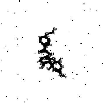 CO[C@H]1[C@@H](C)SC(N)=N[C@]1(C)c1cc(NC(=O)c2cnc(OCF)cn2)ccc1F